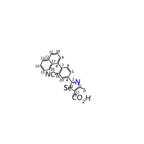 Cc1nc(-c2ccc(-c3cccc4ccccc34)c(C#N)c2)[se]c1C(=O)O